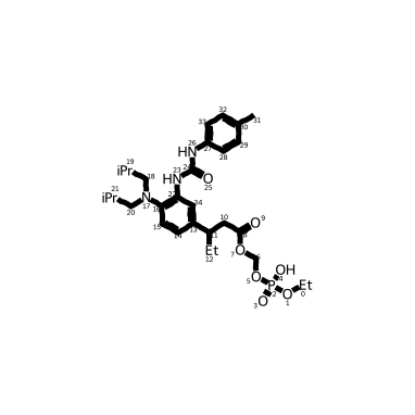 CCOP(=O)(O)OCOC(=O)CC(CC)c1ccc(N(CC(C)C)CC(C)C)c(NC(=O)Nc2ccc(C)cc2)c1